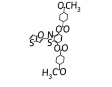 CC(=O)C1CCC(C(=O)Oc2ccc(OC(=O)C3CCC(C(C)=O)CC3)c3sc(-c4cc5sccc5o4)nc23)CC1